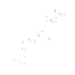 CC(C)N(CC(=O)NCc1cccc(Cl)c1F)C(=O)Cn1cc(C=O)c2cc(C(=O)NC3=CNCN=C3)ccc21